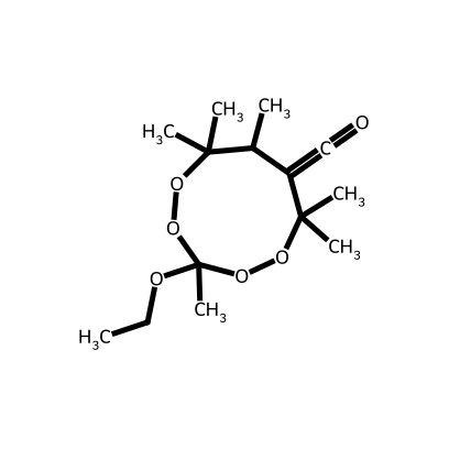 CCOC1(C)OOC(C)(C)C(=C=O)C(C)C(C)(C)OO1